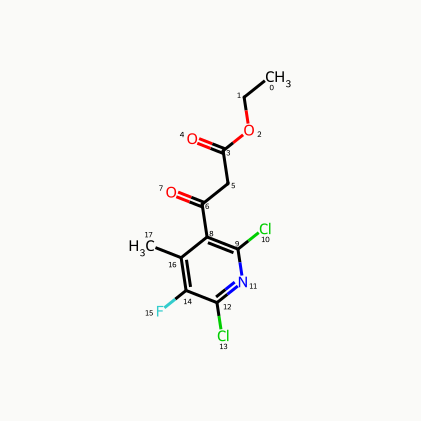 CCOC(=O)CC(=O)c1c(Cl)nc(Cl)c(F)c1C